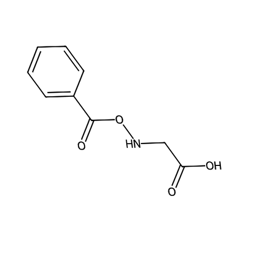 O=C(O)CNOC(=O)c1ccccc1